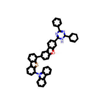 C1=CC(C2N=C(c3ccccc3)N=C(c3ccc4c(c3)oc3ccc(-c5cccc6c5sc5c(-n7c8ccccc8c8ccccc87)cccc56)cc34)N2)=CCC1